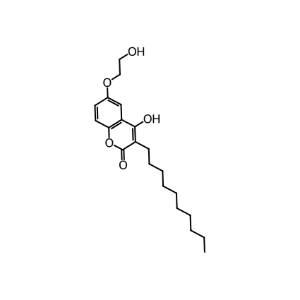 CCCCCCCCCCc1c(O)c2cc(OCCO)ccc2oc1=O